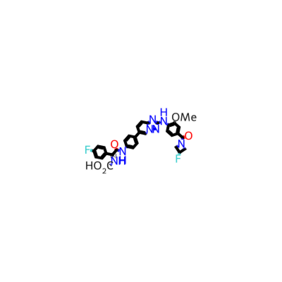 COc1cc(C(=O)N2CC(F)C2)ccc1Nc1nc2ccc(-c3ccc(NC(=O)[C@H](NC(=O)O)c4ccc(F)cc4)cc3)cn2n1